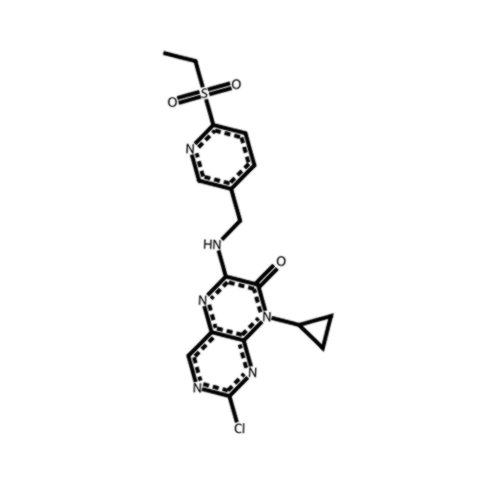 CCS(=O)(=O)c1ccc(CNc2nc3cnc(Cl)nc3n(C3CC3)c2=O)cn1